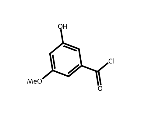 COc1cc(O)cc(C(=O)Cl)c1